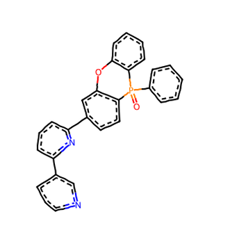 O=P1(c2ccccc2)c2ccccc2Oc2cc(-c3cccc(-c4cccnc4)n3)ccc21